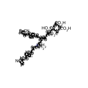 N#C[C@@H]1CC(F)(F)CN1C(=O)CNC(=O)c1ccnc2c(NC(=O)CCC(=O)NC/C(N)=C/N(N)CCCC[C@H](NC(=O)CCC(=O)Nc3cccc4c(C(=O)NCC(=O)N5CC(F)(F)C[C@H]5C#N)ccnc34)C(=O)NCCNC(=O)CCCC(C(=O)O)N3CCN(CC(=O)O)CCN(CC(=O)O)CCN(CC(=O)O)CC3)cccc12